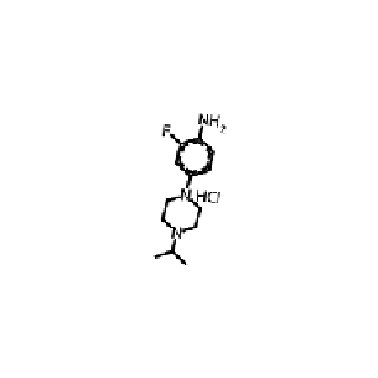 CC(C)N1CCN(c2ccc(N)c(F)c2)CC1.Cl